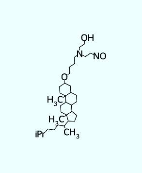 CC(C)CCCC(C)C1CCC2C3CCC4CC(OCCCCN(CCO)CCN=O)CCC4(C)C3CCC12C